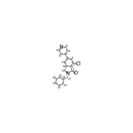 O=C1c2c(Cl)cc(-c3ccncc3)cc2CN1Cc1ccccc1